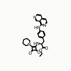 CCOC(=O)C(Cc1ccc(Nc2nccc3ccncc23)cc1)Nc1c(N2CCCCC2)c(=O)c1=O